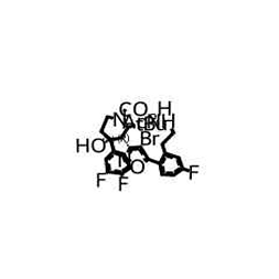 CC(=O)NCCc1cc(F)ccc1-c1onc([C@H]2C(C(C)(C)C)N(C(=O)O)CC[C@]2(O)c2ccc(F)c(F)c2)c1Br